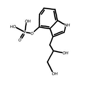 O=P(O)(O)Oc1cccc2[nH]cc(CC(O)CO)c12